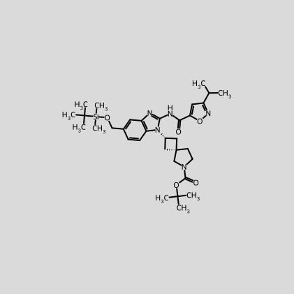 CC(C)c1cc(C(=O)Nc2nc3cc(CO[Si](C)(C)C(C)(C)C)ccc3n2[C@H]2C[C@@]3(CCN(C(=O)OC(C)(C)C)C3)C2)on1